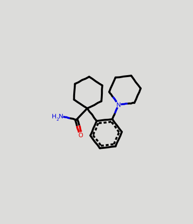 NC(=O)C1(c2ccccc2N2CCCCC2)CCCCC1